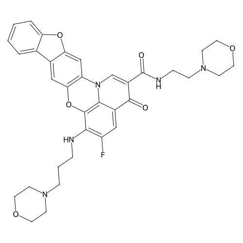 O=C(NCCN1CCOCC1)c1cn2c3c(c(NCCCN4CCOCC4)c(F)cc3c1=O)Oc1cc3c(cc1-2)oc1ccccc13